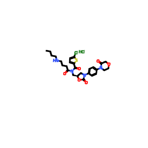 CCCCNCCCC(=O)N(C[C@H]1CN(c2ccc(N3CCOCC3=O)cc2)C(=O)O1)C(=O)c1ccc(Cl)s1.Cl